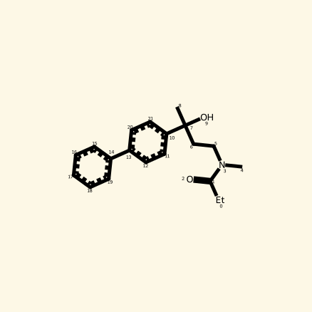 CCC(=O)N(C)CCC(C)(O)c1ccc(-c2ccccc2)cc1